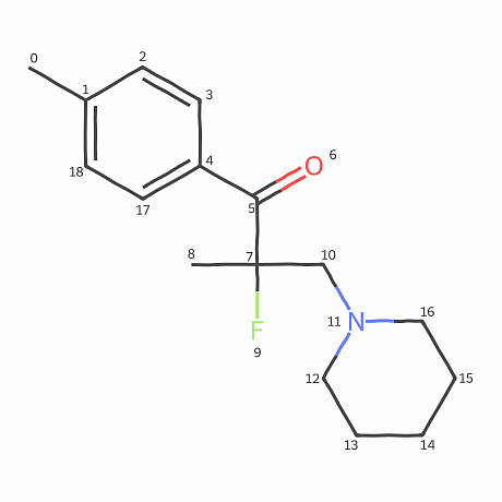 Cc1ccc(C(=O)C(C)(F)CN2CCCCC2)cc1